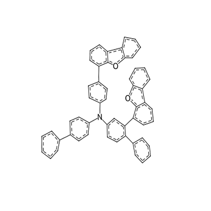 c1ccc(-c2ccc(N(c3ccc(-c4cccc5c4oc4ccccc45)cc3)c3ccc(-c4ccccc4)c(-c4cccc5c4oc4ccccc45)c3)cc2)cc1